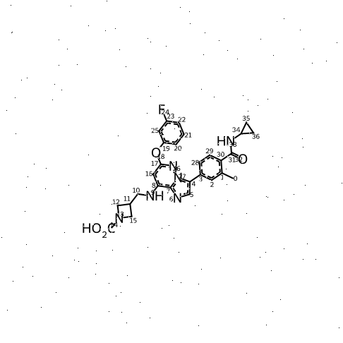 Cc1cc(-c2cnc3c(NCC4CN(C(=O)O)C4)cc(Oc4cccc(F)c4)nn23)ccc1C(=O)NC1CC1